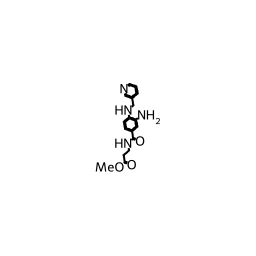 COC(=O)CCNC(=O)c1ccc(NCc2cccnc2)c(N)c1